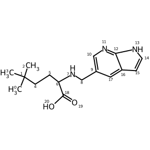 CC(C)(C)CCC(NCc1cnc2[nH]ccc2c1)C(=O)O